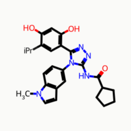 CC(C)c1cc(-c2nnc(NC(=O)C3CCCC3)n2-c2ccc3c(ccn3C)c2)c(O)cc1O